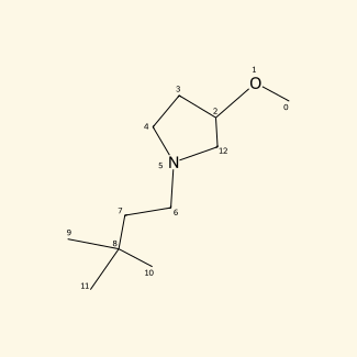 COC1CCN(CCC(C)(C)C)C1